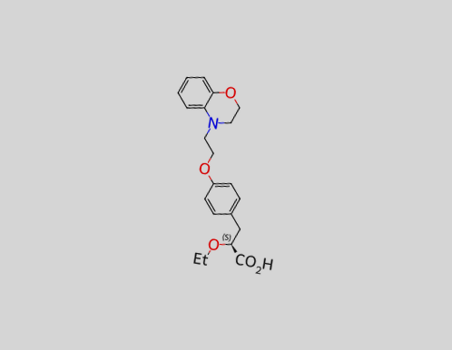 CCO[C@@H](Cc1ccc(OCCN2CCOc3ccccc32)cc1)C(=O)O